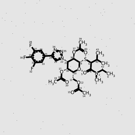 CCN(C)C(=O)C(S[C@@H]1O[C@H](COC(C)=O)[C@H](OC(C)=O)[C@H](n2cc(-c3cc(F)c(F)c(F)c3)nn2)[C@H]1OC(C)=O)C(C)C